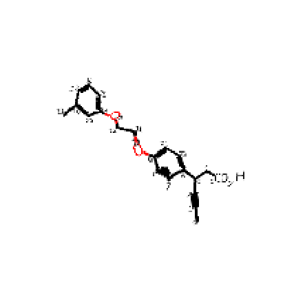 CC#CC(CC(=O)O)c1ccc(OCCOc2cccc(C)c2)cc1